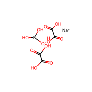 O=C(O)C(=O)O.O=C(O)C(=O)O.[Na+].[O-]B(O)O